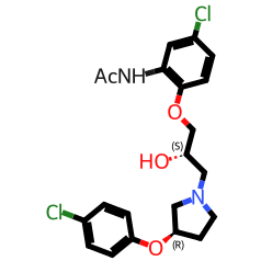 CC(=O)Nc1cc(Cl)ccc1OC[C@@H](O)CN1CC[C@@H](Oc2ccc(Cl)cc2)C1